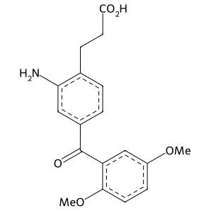 COc1ccc(OC)c(C(=O)c2ccc(CCC(=O)O)c(N)c2)c1